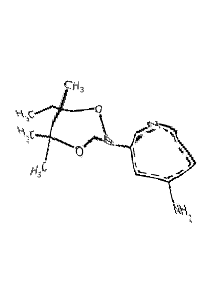 CC1(C)OB(c2cc(N)ccn2)OC1(C)C